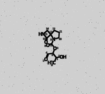 CC(O)C(C=O)OC(=O)N1CCCC12CNC2=O